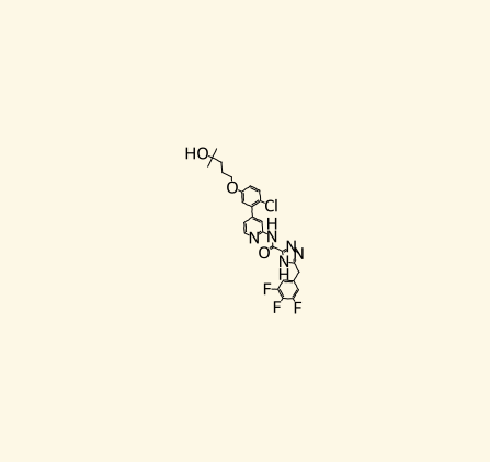 CC(C)(O)CCCOc1ccc(Cl)c(-c2ccnc(NC(=O)c3nnc(Cc4cc(F)c(F)c(F)c4)[nH]3)c2)c1